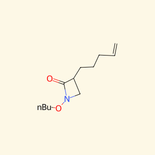 C=CCCCC1CN(OCCCC)C1=O